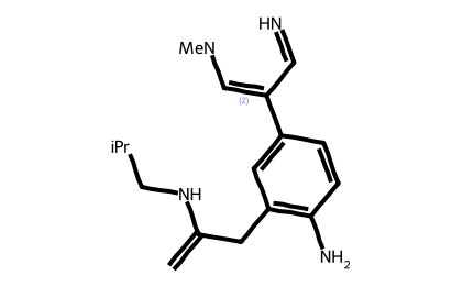 C=C(Cc1cc(/C(C=N)=C/NC)ccc1N)NCC(C)C